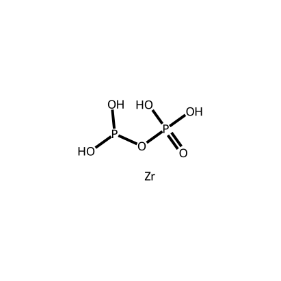 O=P(O)(O)OP(O)O.[Zr]